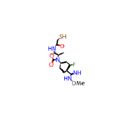 CONC(=N)c1ccc(N2C(=O)O[C@H](NC(=O)CS)C2C)cc1F